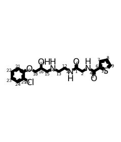 O=C(CNC(=O)c1cccs1)NCCNCC(O)COc1ccccc1Cl